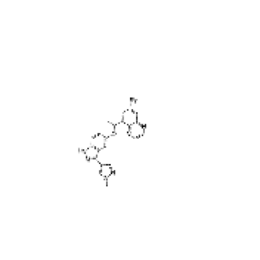 CC(C)c1cc(C(C)Oc2ccc3[nH]nc(-c4cnn(C)c4)c3c2)c2nccnc2c1